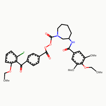 COCOc1cccc(F)c1C(=O)c1ccc(C(=O)OOC(=O)N2CCCCC(NC(=O)c3cc(OC)c(OCOC)c(OC)c3)C2)cc1